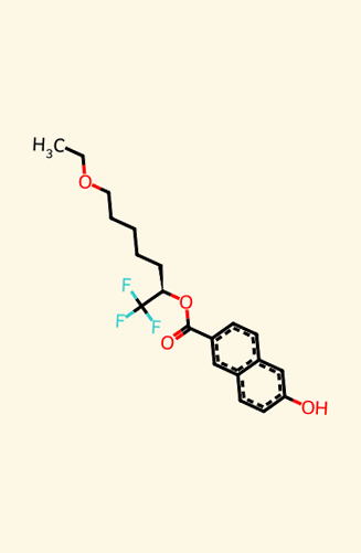 CCOCCCCC[C@@H](OC(=O)c1ccc2cc(O)ccc2c1)C(F)(F)F